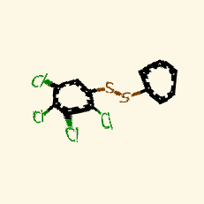 Clc1cc(SSc2ccccc2)c(Cl)c(Cl)c1Cl